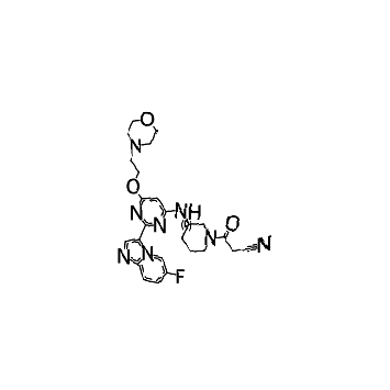 N#CCC(=O)N1CCC[C@@H](Nc2cc(OCCN3CCOCC3)nc(-c3cnc4ccc(F)cn34)n2)C1